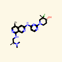 CC(C)c1cnc(NC[C@H](C)N(C)C)c2cnc(Nc3ccnc(N4CC[C@@H](O)[C@@](C)(F)C4)n3)cc12